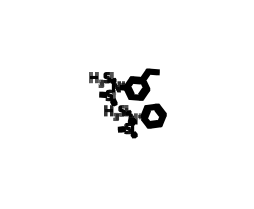 CCc1cccc([N+]([SiH3])=[Si](C)C)c1.C[Si](C)=[N+]([SiH3])c1ccccc1